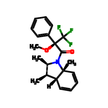 CO[C@@](C(=O)N1[C@H](C)[C@H](C)[C@H]2C=CC=C[C@]21C)(c1ccccc1)C(F)(F)F